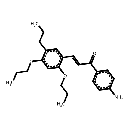 CCCOc1cc(OCCC)c(CCC)cc1C=CC(=O)c1ccc(N)cc1